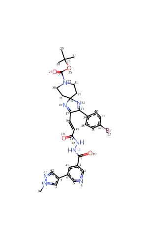 Cn1cc(-c2cncc(C(=O)NNC(=O)/C=C/C3=NC4(CCN(C(=O)OC(C)(C)C)CC4)N=C3c3ccc(Br)cc3)c2)cn1